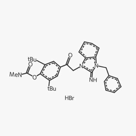 Br.CNC(=O)Oc1c(C(C)(C)C)cc(C(=O)Cn2c(=N)n(Cc3ccccc3)c3ccccc32)cc1C(C)(C)C